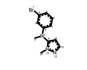 CN(c1cccc(Br)c1)c1ccnn1C